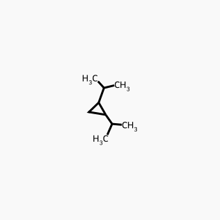 CC(C)C1CC1C(C)C